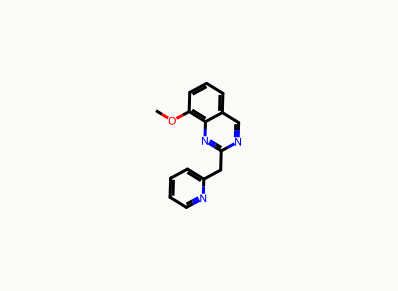 COc1cccc2cnc(Cc3ccccn3)nc12